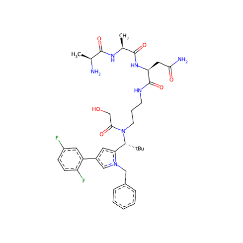 C[C@H](N)C(=O)N[C@@H](C)C(=O)N[C@@H](CC(N)=O)C(=O)NCCCN(C(=O)CO)[C@@H](c1cc(-c2cc(F)ccc2F)cn1Cc1ccccc1)C(C)(C)C